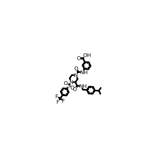 CC(C)c1ccc(CNC(=O)C2CN(C(=O)Nc3cccc(C(=O)O)c3)CCN2S(=O)(=O)c2ccc(C(F)(F)F)cc2)cc1